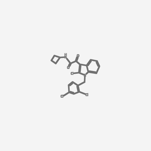 O=C(NC1CCC1)C(=O)c1c(Cl)n(Cc2ccc(Cl)cc2Cl)c2ccccc12